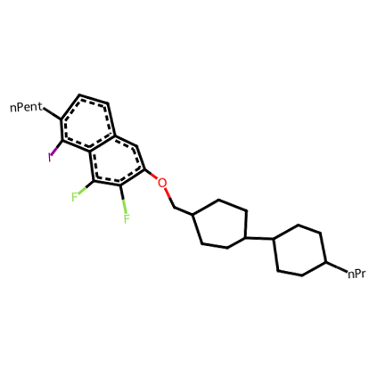 CCCCCc1ccc2cc(OCC3CCC(C4CCC(CCC)CC4)CC3)c(F)c(F)c2c1I